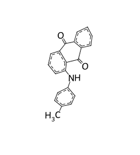 Cc1ccc(Nc2cccc3c2C(=O)c2ccccc2C3=O)cc1